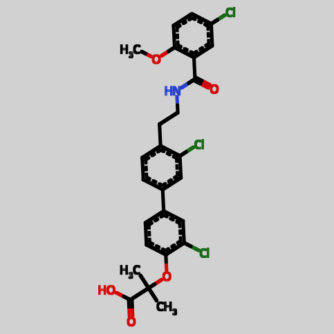 COc1ccc(Cl)cc1C(=O)NCCc1ccc(-c2ccc(OC(C)(C)C(=O)O)c(Cl)c2)cc1Cl